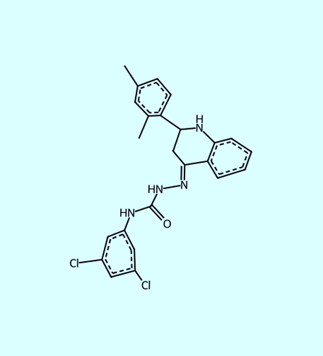 Cc1ccc(C2CC(=NNC(=O)Nc3cc(Cl)cc(Cl)c3)c3ccccc3N2)c(C)c1